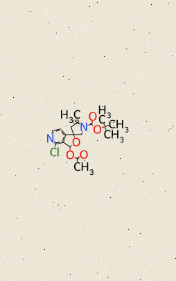 CC(=O)OC1OC2(C[C@H](C)N(C(=O)OC(C)(C)C)C2)c2ccnc(Cl)c21